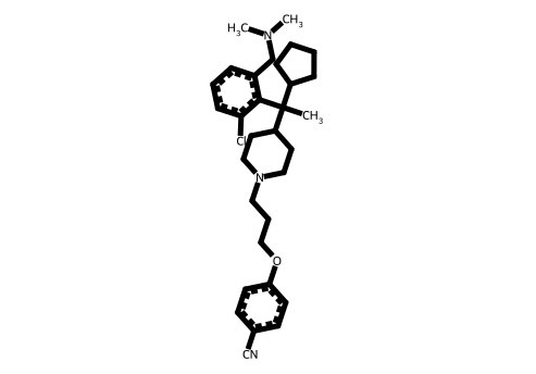 CN(C)Cc1cccc(Cl)c1C(C)(C1CCCC1)C1CCN(CCCOc2ccc(C#N)cc2)CC1